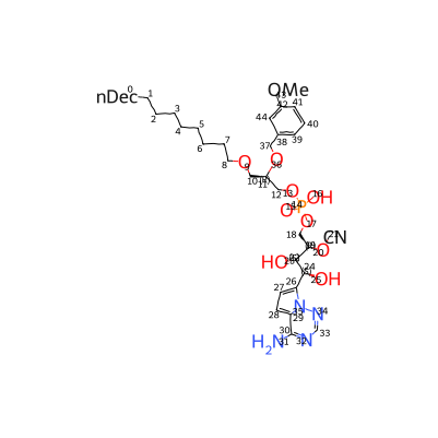 CCCCCCCCCCCCCCCCCCOC[C@H](COP(=O)(O)OC[C@@H](OC#N)[C@@H](O)[C@@H](O)c1ccc2c(N)ncnn12)OCc1cccc(OC)c1